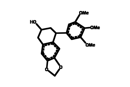 COc1cc(C2CC(O)Cc3cc4c(cc32)OCO4)cc(OC)c1OC